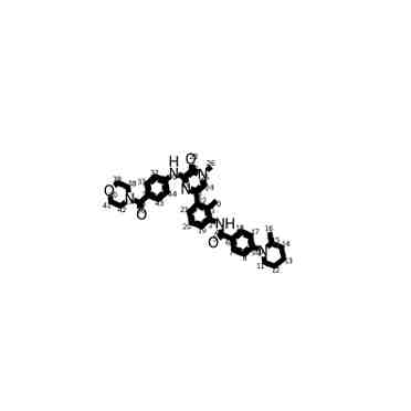 Cc1c(NC(=O)c2ccc(N3CCCCC3C)cc2)cccc1-c1cn(C)c(=O)c(Nc2ccc(C(=O)N3CCOCC3)cc2)n1